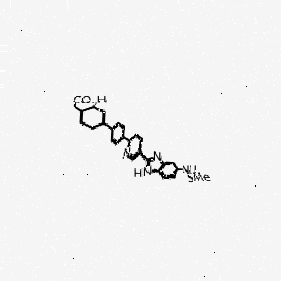 CSNc1ccc2[nH]c(-c3ccc(-c4ccc(C5CCC(CC(=O)O)CC5)cc4)nc3)nc2c1